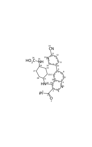 CC(C)C(=O)c1cnc2ccc(-c3ccc(C#N)nc3)cc2c1NC1CCC(NC(=O)O)CC1